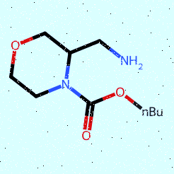 CCCCOC(=O)N1CCOCC1CN